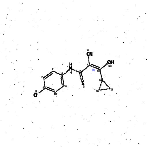 N#C/C(C(=S)Nc1ccc(Cl)cc1)=C(\O)C1CC1